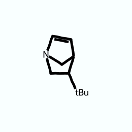 CC(C)(C)C1CN2C=CC1C2